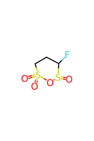 O=S1OS(=O)(=O)CCC1F